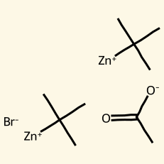 CC(=O)[O-].C[C](C)(C)[Zn+].C[C](C)(C)[Zn+].[Br-]